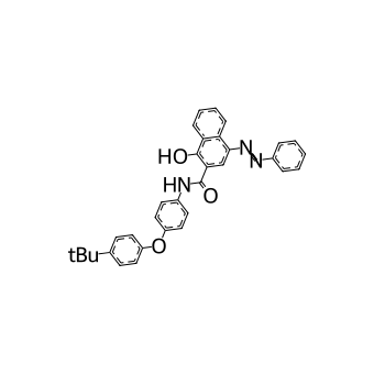 CC(C)(C)c1ccc(Oc2ccc(NC(=O)c3cc(N=Nc4ccccc4)c4ccccc4c3O)cc2)cc1